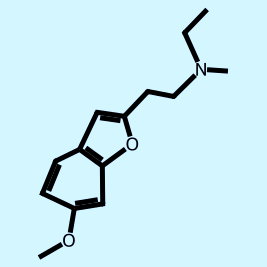 CCN(C)CCc1cc2ccc(OC)cc2o1